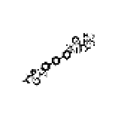 COC(=O)N[C@H](C(=O)N1CCC[C@H]1c1nc2cc(-c3ccc(-c4ccc5[nH]c([C@@H]6CCCN6C(=O)[C@@H](C)C(C)C)nc5c4)cc3)ccc2[nH]1)C(C)C